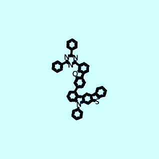 c1ccc(-c2nc(-c3ccccc3)nc(-c3cccc4c3oc3cc(-c5cccc6c5c5cc7c(cc5n6-c5ccccc5)sc5ccccc57)ccc34)n2)cc1